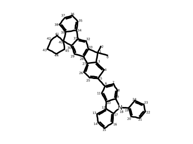 CC1(C)c2cc(-c3ccc4c(c3)c3ccccc3n4-c3ccccc3)ccc2-c2cc3c(cc21)-c1ccccc1C31CCCCC1